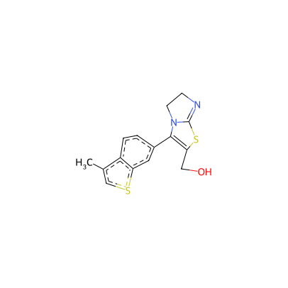 Cc1csc2cc(C3=C(CO)SC4=NCCN43)ccc12